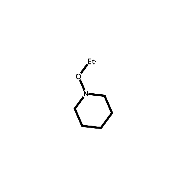 C[CH]ON1CCCCC1